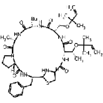 C=CC(C)(C)OC[C@@H]1NC(=O)[C@H]([C@@H](C)OC(C)(C)C=C)NC(=O)[C@@H]2CSC(N2)[C@@H](Cc2ccccc2)NC(=O)[C@@H]2CCCN2C(=O)[C@H](C)NC(=O)[C@H]([C@@H](C)CC)NC1=O